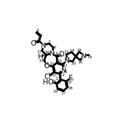 C=CC(=O)N1CCN2C(=O)c3c(N4CCC5(CN(C)C5)C4)nc(-c4c(O)cccc4F)c(Cl)c3OC[C@H]2C1